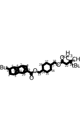 CCCCC1=CC2CC1C1C3CC(C(=O)OCC4CCC(COC(=O)CC(C)(C)C(C)(C)C)CC4)C(C3)C21